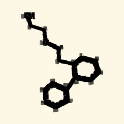 OCCOCCc1ccccc1-c1ccccc1